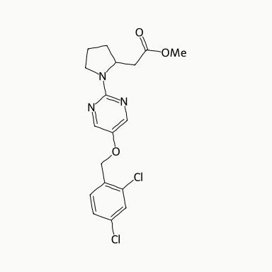 COC(=O)CC1CCCN1c1ncc(OCc2ccc(Cl)cc2Cl)cn1